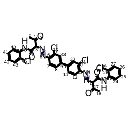 CC(=O)C(/N=N/c1ccc(-c2ccc(/N=N/C(C(C)=O)C(=O)Nc3ccccc3Cl)c(Cl)c2)cc1Cl)C(=O)Nc1ccccc1Cl